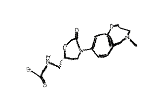 CCC(=O)NC[C@H]1CN(c2ccc3c(c2)OCCN3C)C(=O)O1